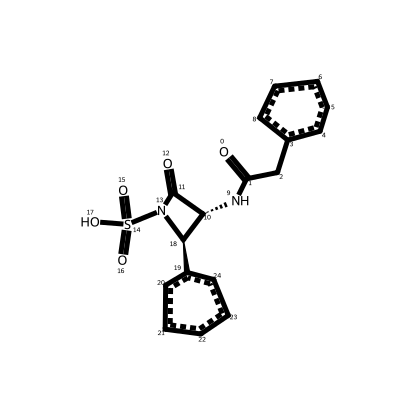 O=C(Cc1ccccc1)N[C@H]1C(=O)N(S(=O)(=O)O)[C@@H]1c1ccccc1